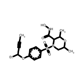 CC#CC(CC)Oc1ccc(S(=O)(=O)N2CC(C)OC(C)C2C(=O)NO)cc1